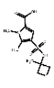 Cc1c(S(=O)(=O)NC2(C)COC2)cc(C(=O)O)n1C